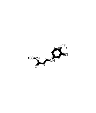 CC(C)(C)OC(=O)CCNc1ccc(C(F)(F)F)c(Cl)c1